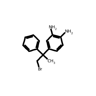 CC(CBr)(c1ccccc1)c1ccc(N)c(N)c1